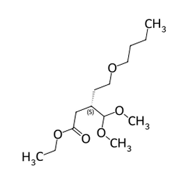 CCCCOCC[C@@H](CC(=O)OCC)C(OC)OC